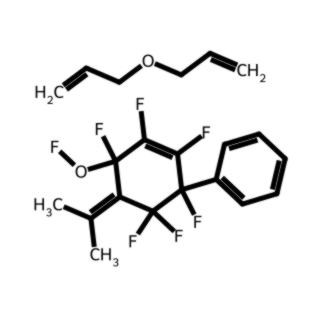 C=CCOCC=C.CC(C)=C1C(F)(OF)C(F)=C(F)C(F)(c2ccccc2)C1(F)F